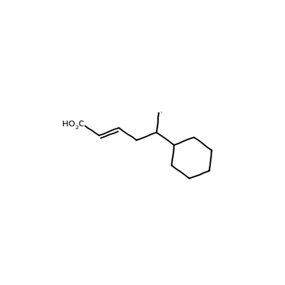 [CH2]C(C/C=C/C(=O)O)C1CCCCC1